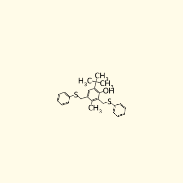 Cc1c(CSc2ccccc2)cc(C(C)(C)C)c(O)c1CSc1ccccc1